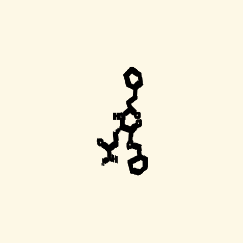 O=C(CC[C@H](NC(=O)CCc1ccccc1)C(=O)OCc1ccccc1)NI